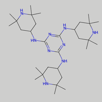 CC1(C)CC(Nc2nc(NC3CC(C)(C)NC(C)(C)C3)nc(NC3CC(C)(C)NC(C)(C)C3)n2)CC(C)(C)N1